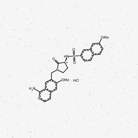 COc1ccc2ccc(S(=O)(=O)N[C@H]3CCN(Cc4cc5c(N)nccc5cc4OC)C3=O)cc2c1.Cl